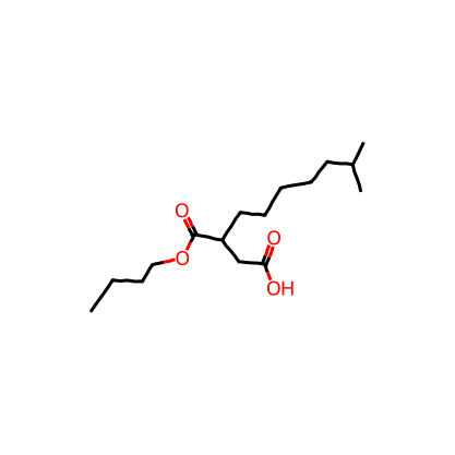 CCCCOC(=O)C(CCCCCC(C)C)CC(=O)O